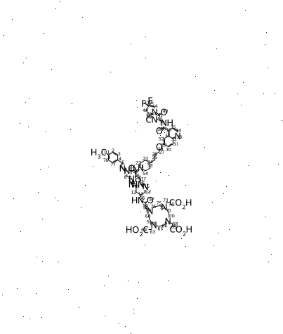 Cc1ccc(/C=N/NCN/N=C/CC(/C=N\NCCC(=O)N2CCC(CCCOc3ccc4nccc(C(=O)NCC(=O)N5CC(F)(F)C[C@@H]5C#N)c4c3)CC2)NC(=O)CN2CCN(CC(=O)O)CCN(CC(=O)O)CCN(CC(=O)O)CC2)cc1